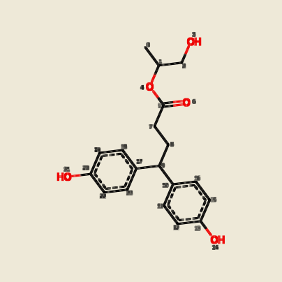 CC(CO)OC(=O)CCC(c1ccc(O)cc1)c1ccc(O)cc1